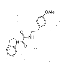 COc1ccc(CCNC(=O)C(=O)N2CCc3ccccc32)cc1